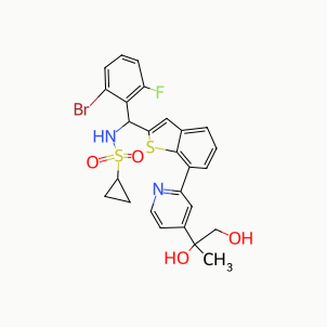 CC(O)(CO)c1ccnc(-c2cccc3cc(C(NS(=O)(=O)C4CC4)c4c(F)cccc4Br)sc23)c1